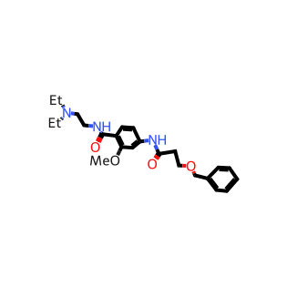 CCN(CC)CCNC(=O)c1ccc(NC(=O)CCOCc2ccccc2)cc1OC